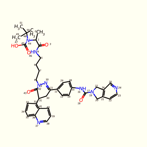 CC(C(=O)NCCCCN1N=C(c2ccc(NC(=O)N3Cc4ccncc4C3)cc2)CC(c2cccc3ncccc23)C1=O)N(C(=O)O)C(C)(C)C